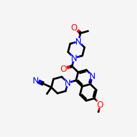 COc1ccc2c(N3CCC(C)(C#N)CC3)c(C(=O)N3CCN(C(C)=O)CC3)cnc2c1